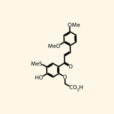 COc1ccc(C=CC(=O)c2cc(SC)c(O)cc2OCC(=O)O)c(OC)c1